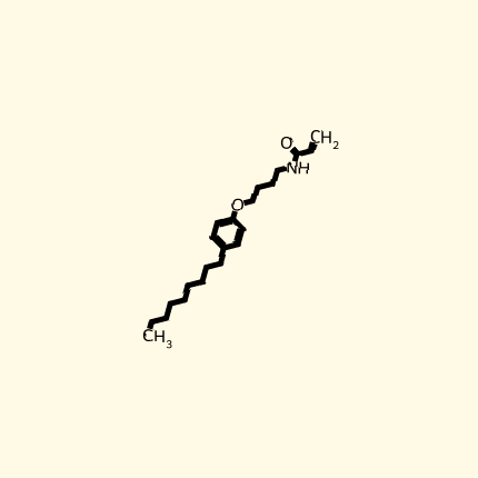 C=CC(=O)NCCCCOc1ccc(CCCCCCCCC)cc1